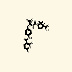 CC1(C)[C@@H](C(=O)N[C@@H](Cc2ccc(NC(=O)c3ccc(Cl)nc3Cl)cc2)C(=O)O)CC[C@@]1(C)C(=O)O